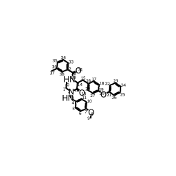 CCN(Nc1ccc(OC)cc1)C(=O)C(Cc1ccc(Oc2ccccc2)cc1)NC(=O)c1cccc(C)c1